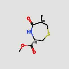 COC(=O)[C@H]1CSC[C@H](C)C(=O)N1